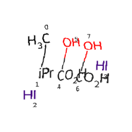 CC(C)C.I.I.O=C(O)O.O=C(O)O